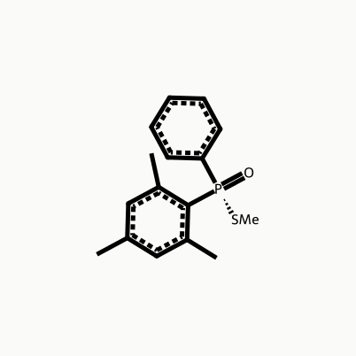 CS[P@@](=O)(c1ccccc1)c1c(C)cc(C)cc1C